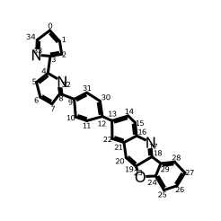 c1ccc(-c2cccc(-c3ccc(-c4ccc5nc6c(cc5c4)oc4ccccc46)cc3)n2)nc1